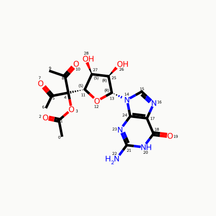 CC(=O)OC(C(C)=O)(C(C)=O)[C@H]1O[C@@H](n2cnc3c(=O)[nH]c(N)nc32)[C@H](O)[C@@H]1O